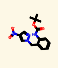 CC(C)(C)OC(=O)Nc1ccccc1Cn1cc([N+](=O)[O-])cn1